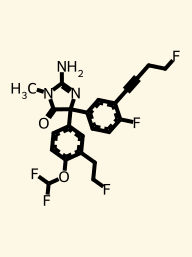 CN1C(=O)C(c2ccc(F)c(C#CCCF)c2)(c2ccc(OC(F)F)c(CCF)c2)N=C1N